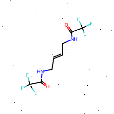 O=C(NCC=CCNC(=O)C(F)(F)F)C(F)(F)F